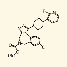 CC(C)(C)OC(=O)N1Cc2cc(Cl)ccc2-n2c(nnc2C2CCC(c3cccnc3F)CC2)C1